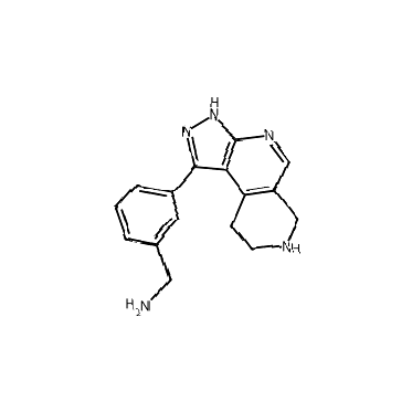 NCc1cccc(-c2n[nH]c3ncc4c(c23)CCNC4)c1